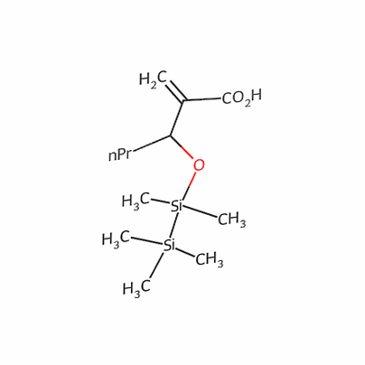 C=C(C(=O)O)C(CCC)O[Si](C)(C)[Si](C)(C)C